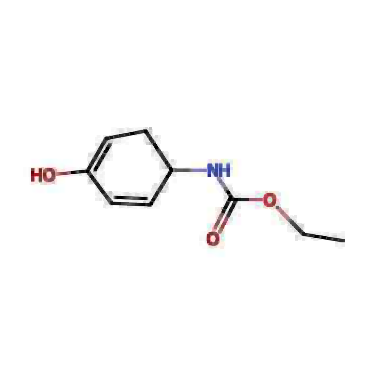 CCOC(=O)NC1C=CC(O)=CC1